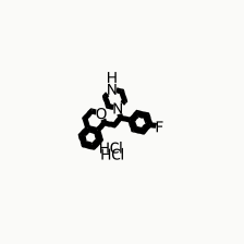 Cl.Cl.Fc1ccc(C(CC2OCCc3ccccc32)N2CCNCC2)cc1